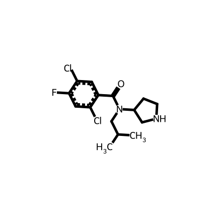 CC(C)CN(C(=O)c1cc(Cl)c(F)cc1Cl)C1CCNC1